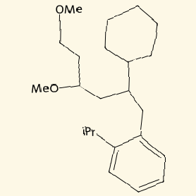 COCCC(CC(Cc1ccccc1C(C)C)C1CCCCC1)OC